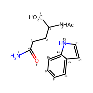 CC(=O)NC(CCC(N)=O)C(=O)O.c1ccc2[nH]ccc2c1